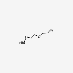 CCCCOCCOCCC(C)C